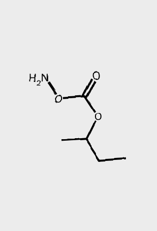 CCC(C)OC(=O)ON